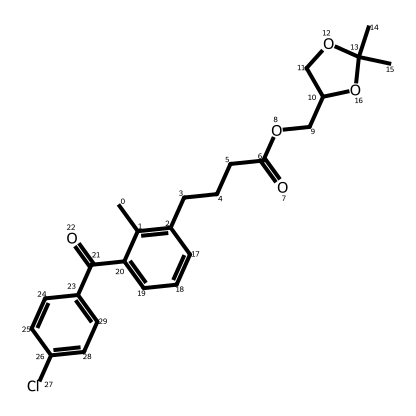 Cc1c(CCCC(=O)OCC2COC(C)(C)O2)cccc1C(=O)c1ccc(Cl)cc1